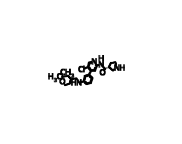 CC1(C)CC(CNc2cccc(-c3cc(NC(=O)[C@@H]4CCNC4)ncc3Cl)c2)CCO1